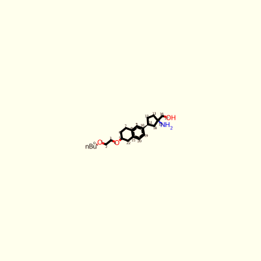 CCCCOCCOC1CCc2cc([C@H]3CC[C@](N)(CO)C3)ccc2C1